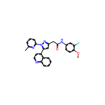 COc1ccc(NC(=O)Cc2cc(-c3ccnc4ccccc34)n(-c3cccc(C)n3)n2)cc1F